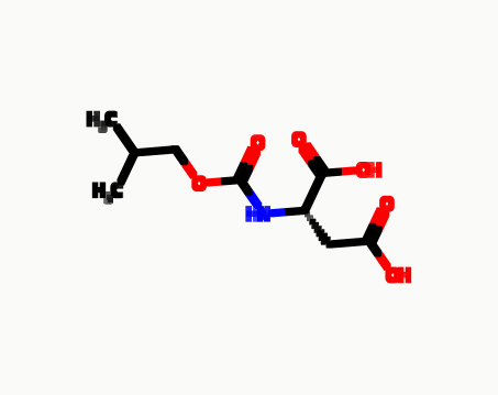 CC(C)COC(=O)N[C@@H](CC(=O)O)C(=O)O